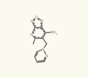 Cc1nc2nonc2c(N)c1CN1C=CC=C=N1